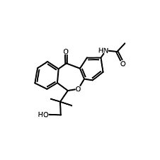 CC(=O)Nc1ccc2c(c1)C(=O)c1ccccc1C(C(C)(C)CO)O2